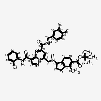 Cc1c(C(=O)OC(C)(C)C)ccc2c1CCC2NCc1cc(C(=O)NCc2ccc(F)c(F)c2)nc2c(C(=O)Nc3ccccc3Cl)cnn12